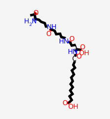 CC(=O)[C@@H](N)CCCCNC(=O)CCCCCNC(=O)CC[C@H](NC(=O)CCCCCCCCCCCCCCC(=O)O)C(=O)O